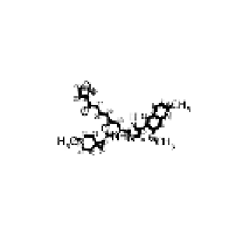 COc1cc2nc(C)ccc2cc1-c1cnc(C(CCCCCC(=O)c2ccon2)NC(=O)[C@H]2CC23CCN(C)CC3)[nH]1